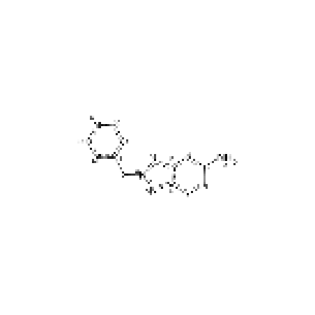 Nc1ccc2nn(Cc3ccncc3)cc2c1